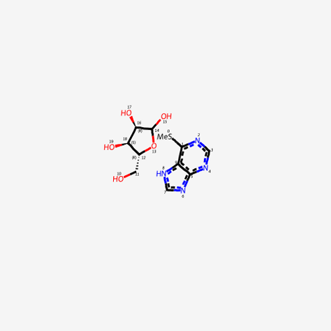 CSc1ncnc2nc[nH]c12.OC[C@H]1OC(O)[C@H](O)[C@@H]1O